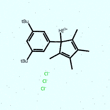 CC1=C(C)[C]([Hf+3])(c2cc(C(C)(C)C)cc(C(C)(C)C)c2)C(C)=C1C.[Cl-].[Cl-].[Cl-]